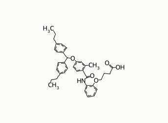 CCCc1ccc(C(Oc2ccc(C(=O)Nc3ccccc3OCCCC(=O)O)c(C)c2)c2ccc(CCC)cc2)cc1